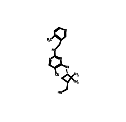 CC1(C)[C@@H](CO)C[C@@H]1Nc1nc(NCc2cnccc2C(F)(F)F)ncc1C#N